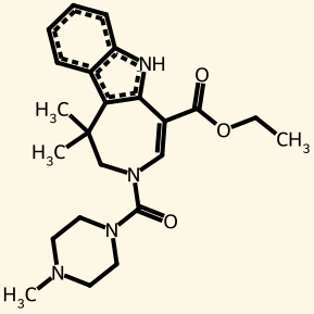 CCOC(=O)C1=CN(C(=O)N2CCN(C)CC2)CC(C)(C)c2c1[nH]c1ccccc21